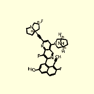 C#Cc1c(F)ccc2cc(O)cc(-c3ncc4c(N5C[C@H]6CC[C@@H](C5)N6)cc(C#C[C@@]56CCCN5C[C@H](F)C6)nc4c3F)c12